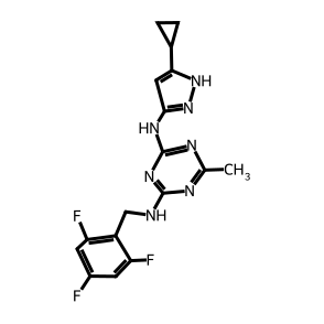 Cc1nc(NCc2c(F)cc(F)cc2F)nc(Nc2cc(C3CC3)[nH]n2)n1